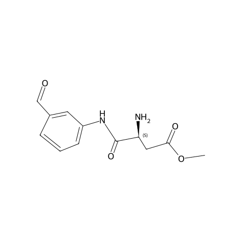 COC(=O)C[C@H](N)C(=O)Nc1cccc(C=O)c1